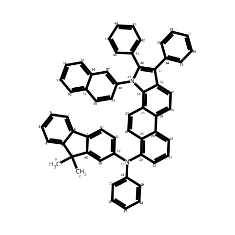 CC1(C)c2ccccc2-c2ccc(N(c3ccccc3)c3cccc4c3ccc3c4ccc4c(-c5ccccc5)c(-c5ccccc5)n(-c5ccc6ccccc6c5)c43)cc21